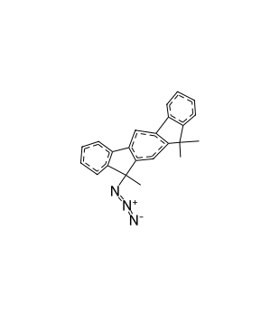 CC1(C)c2ccccc2-c2cc3c(cc21)C(C)(N=[N+]=[N-])c1ccccc1-3